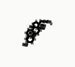 C=C=C[C@]1(O)CC[C@H]2[C@@H]3CCC4=C[C@@H](O)CC[C@@H]4[C@H]3CCC21CCC